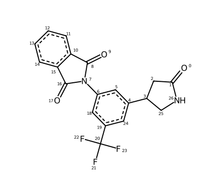 O=C1CC(c2cc(N3C(=O)c4ccccc4C3=O)cc(C(F)(F)F)c2)CN1